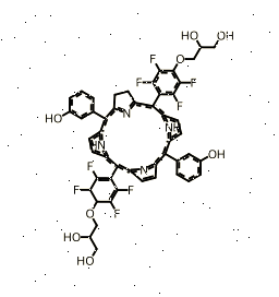 OCC(O)COc1c(F)c(F)c(-c2c3nc(c(-c4cccc(O)c4)c4ccc([nH]4)c(C4=C(F)C(F)C(OCC(O)CO)C(F)=C4F)c4nc(c(-c5cccc(O)c5)c5ccc2[nH]5)C=C4)CC3)c(F)c1F